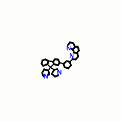 c1cc(-c2ccc3c(c2)C(c2cccnc2)(c2cccnc2)c2ccccc2-3)cc(-c2ccc3ccc4cccnc4c3n2)c1